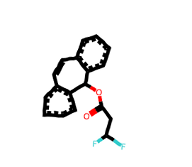 O=C(CC(F)F)OC1c2ccccc2C=Cc2ccccc21